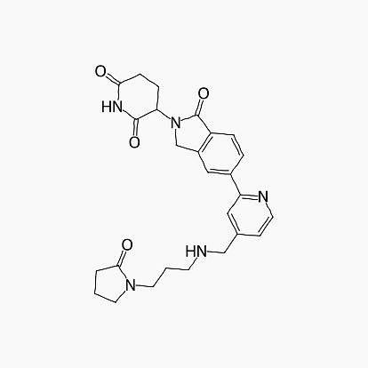 O=C1CCC(N2Cc3cc(-c4cc(CNCCCN5CCCC5=O)ccn4)ccc3C2=O)C(=O)N1